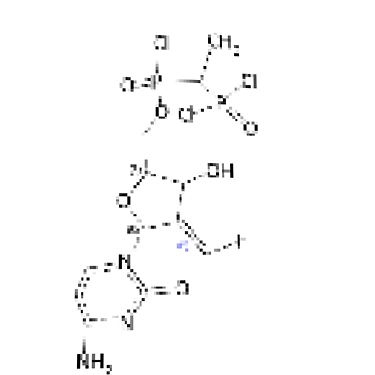 CC(P(=O)(Cl)Cl)P(=O)(Cl)OC[C@H]1O[C@@H](n2ccc(N)nc2=O)/C(=C/F)C1O